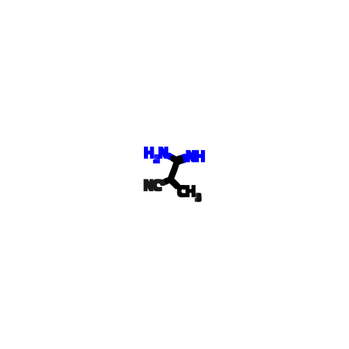 CC(C#N)C(=N)N